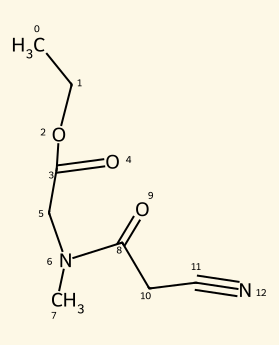 CCOC(=O)CN(C)C(=O)CC#N